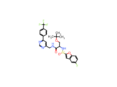 CC(C)(C)OCC(N[S+]([O-])c1cc2cc(F)ccc2o1)C(=O)NCc1cc(-c2ccc(C(F)(F)F)cc2)ncn1